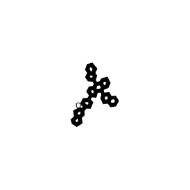 C1=Cc2ccc(-c3c4ccccc4c(-c4ccc5ccccc5c4)c4ccc(-c5ccc6c(c5)oc5cc7ccccc7cc56)cc34)cc2CC1